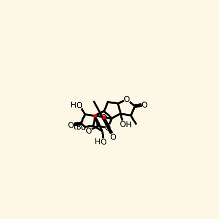 CC1C(=O)OC2CC34C5OC(=O)C3(OC3OC(=O)C(O)C34C(C(C)(C)C)C5O)C21O